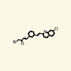 O=C(/C=C/c1cccc(/C=C/c2ccc3ccc(Cl)cc3n2)c1)CBr